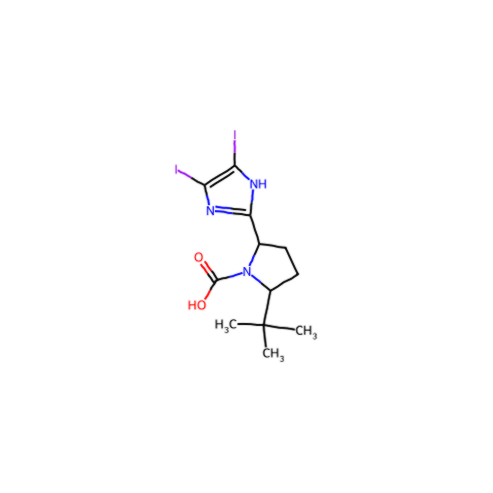 CC(C)(C)C1CCC(c2nc(I)c(I)[nH]2)N1C(=O)O